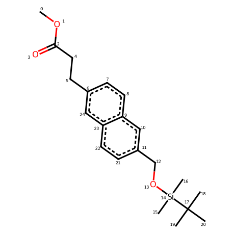 COC(=O)CCc1ccc2cc(CO[Si](C)(C)C(C)(C)C)ccc2c1